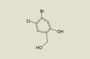 OCc1cc(Cl)c(Br)cc1O